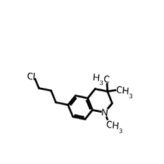 CN1CC(C)(C)Cc2cc(CCCCl)ccc21